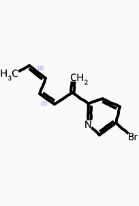 C=C(/C=C\C=C/C)c1ccc(Br)cn1